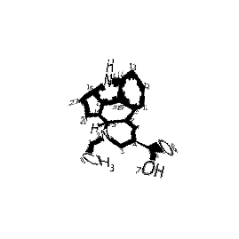 CCN1C[C@H](C(=O)O)CC2c3cccc4[nH]c5c(c34)C(C=C5)[C@H]21